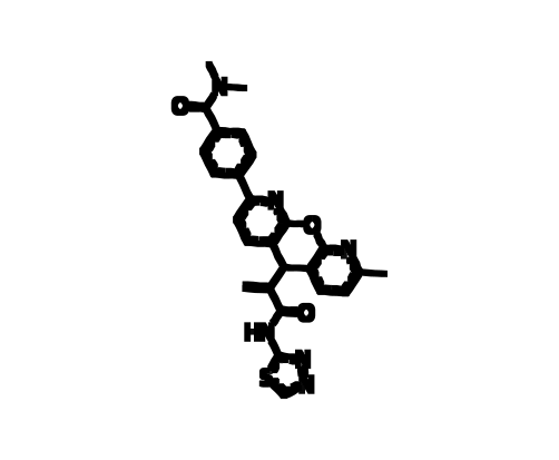 C=C(C(=O)Nc1nncs1)C1c2ccc(C)nc2Oc2nc(-c3ccc(C(=O)N(C)C)cc3)ccc21